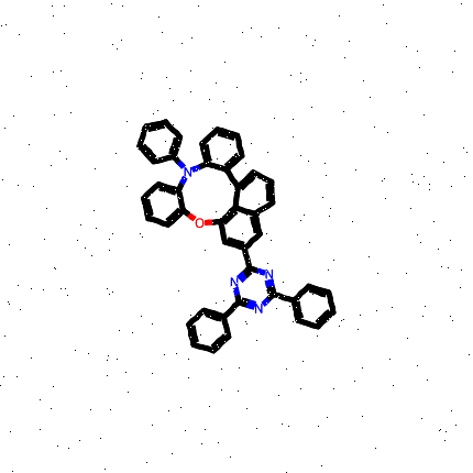 c1ccc(-c2nc(-c3ccccc3)nc(-c3cc4c5c(cccc5c3)-c3ccccc3N(c3ccccc3)c3ccccc3O4)n2)cc1